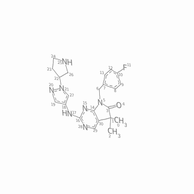 CC1(C)C(=O)N(Cc2ccc(F)cc2)c2nc(Nc3cnn(C4CCNC4)c3)ncc21